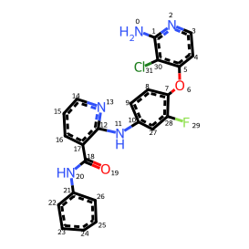 Nc1nccc(Oc2ccc(Nc3ncccc3C(=O)Nc3ccccc3)cc2F)c1Cl